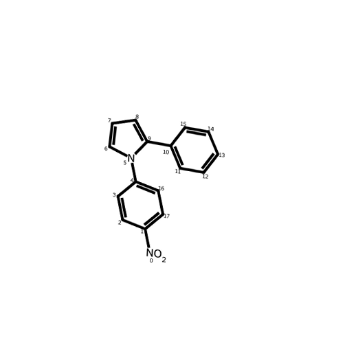 O=[N+]([O-])c1ccc(-n2cccc2-c2ccccc2)cc1